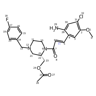 COc1cc(/C=C/C(=O)N2CCN(Cc3ccc(F)cc3)C[C@H]2COC(C)=O)c(N)cc1Cl